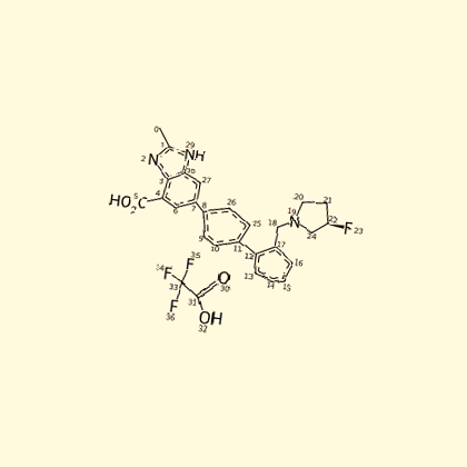 Cc1nc2c(C(=O)O)cc(-c3ccc(-c4ccccc4CN4CC[C@@H](F)C4)cc3)cc2[nH]1.O=C(O)C(F)(F)F